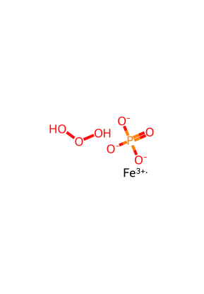 O=P([O-])([O-])[O-].OOO.[Fe+3]